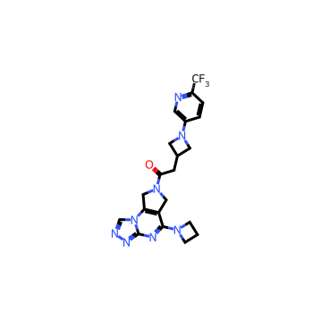 O=C(CC1CN(c2ccc(C(F)(F)F)nc2)C1)N1Cc2c(N3CCC3)nc3nncn3c2C1